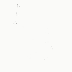 COC(=O)C(C/C=C\CN=[N+]=[N-])C(=O)OC